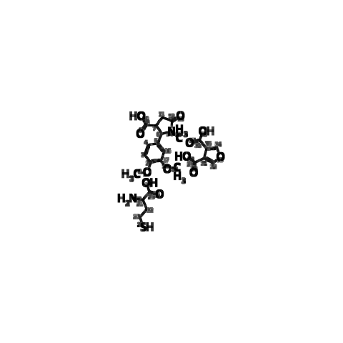 COc1ccc(C2C(C(=O)O)CC(=O)N2C)cc1OC.NC(CCS)C(=O)O.O=C(O)c1cocc1C(=O)O